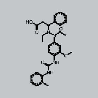 CCN(C(CC(=O)O)c1ccccc1)N(C(C)=O)c1ccc(NC(=O)Nc2ccccc2C)c(OC)c1